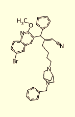 COc1nc2ccc(Br)cc2cc1C(/C(=C/C#N)CCCCN1CC2CC1CN2Cc1ccccc1)c1ccccc1